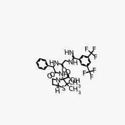 CC1(C)S[C@@H]2CC(=O)N2[C@@]1(NC(=O)C(NC(=O)CNC(=N)c1cc(C(F)(F)F)cc(C(F)(F)F)c1)c1ccccc1)C(=O)O